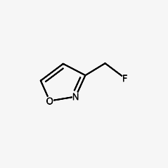 FCc1ccon1